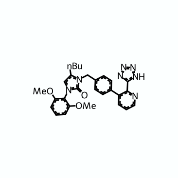 CCCCc1cn(-c2c(OC)cccc2OC)c(=O)n1Cc1ccc(-c2cccnc2-c2nnn[nH]2)cc1